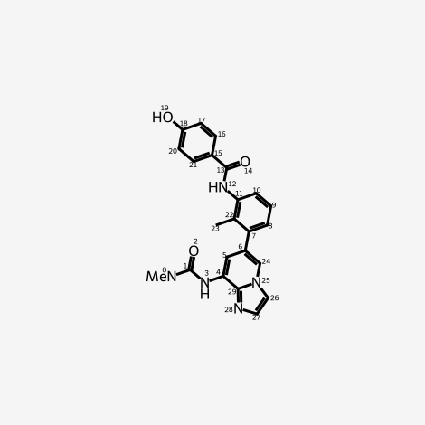 CNC(=O)Nc1cc(-c2cccc(NC(=O)c3ccc(O)cc3)c2C)cn2ccnc12